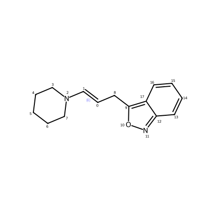 C(=C\N1CCCCC1)/Cc1onc2ccccc12